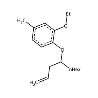 C=CCC(CCCCCC)Oc1ccc(C)cc1OCC